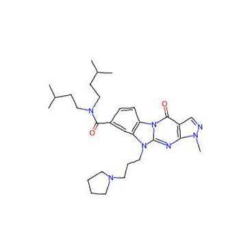 CC(C)CCN(CCC(C)C)C(=O)c1ccc2c(c1)n(CCCN1CCCC1)c1nc3c(cnn3C)c(=O)n21